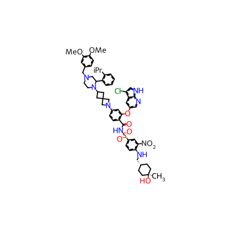 COc1ccc(CN2CCN(C3CC4(C3)CN(c3ccc(C(=O)NS(=O)(=O)c5ccc(NC[C@H]6CC[C@](C)(O)CC6)c([N+](=O)[O-])c5)c(Oc5cnc6[nH]cc(Cl)c6c5)c3)C4)C(c3ccccc3C(C)C)C2)cc1OC